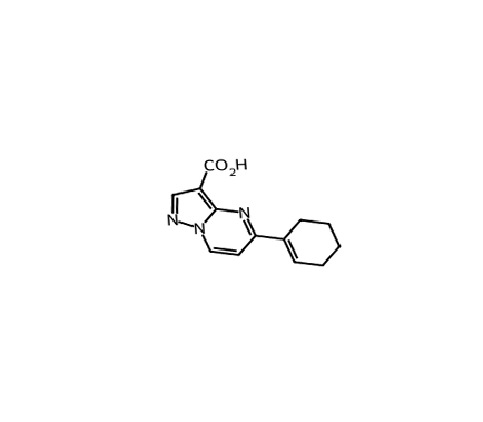 O=C(O)c1cnn2ccc(C3=CCCCC3)nc12